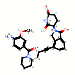 COc1cc(C(=O)N2CCCC[C@H]2CCC#Cc2cccc3c2CN(C2CCC(=O)NC2=O)C3=O)ccc1N